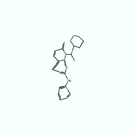 CC(C1CCCCC1)n1c(=O)ccc2cnc(Nc3ccccc3)nc21